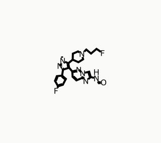 Cn1nc(-c2ccc(F)cc2)c(-c2ccc3nc(NC=O)cn3n2)c1C1CCN(CCCF)CC1